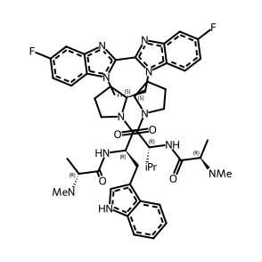 CN[C@H](C)C(=O)N[C@H](Cc1c[nH]c2ccccc12)C(=O)N1CCC[C@H]1Cn1c(-c2nc3cc(F)ccc3n2C[C@@H]2CCCN2C(=O)[C@H](NC(=O)[C@@H](C)NC)C(C)C)nc2cc(F)ccc21